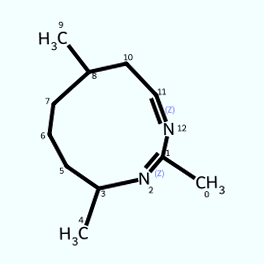 CC1=N/C(C)CCCC(C)C/C=N\1